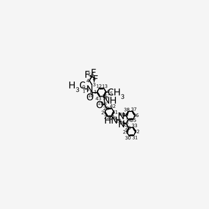 CCN(CCC(F)(F)F)C(=O)c1ccc(C)c(NC(=O)c2ccc(Nc3nc(-c4ccccc4)c4ccccc4n3)cc2)c1